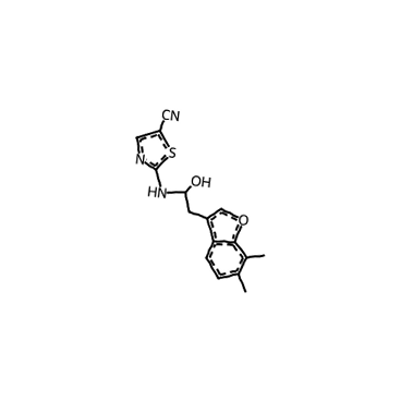 Cc1ccc2c(CC(O)Nc3ncc(C#N)s3)coc2c1C